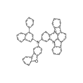 c1ccc(-c2cc(N(c3ccc4oc5ccccc5c4c3)c3ccc4c(c3)n3c5ccccc5c5ccc6c7ccccc7n4c6c53)cc3ccccc23)cc1